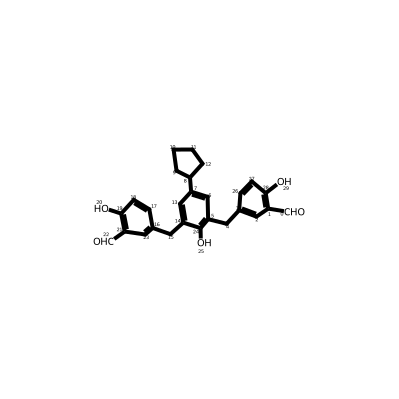 O=Cc1cc(Cc2cc(C3CCCC3)cc(Cc3ccc(O)c(C=O)c3)c2O)ccc1O